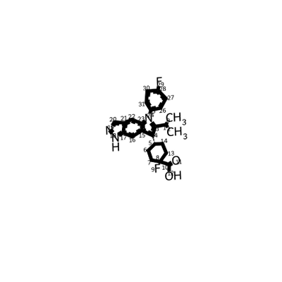 CC(C)c1c([C@H]2CC[C@](F)(C(=O)O)CC2)c2cc3[nH]ncc3cc2n1-c1ccc(F)cc1